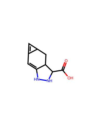 O=C(O)C1NNC2=CC3=CC3CC21